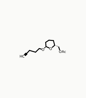 C#CCCCO[C@H]1CCC[C@H](COC(C)=O)O1